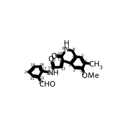 COc1cc2c(cc1C)CNC(=O)/C2=C\C(=O)Nc1ccccc1C=O